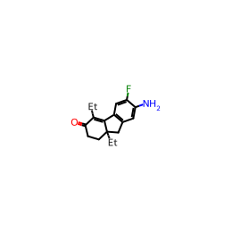 CCC1=C2c3cc(F)c(N)cc3CC2(CC)CCC1=O